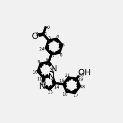 CC(=O)c1cccc(-c2ccc3ncc(-c4cccc(O)c4)n3n2)c1